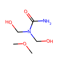 COC.NC(=O)N(CO)CO